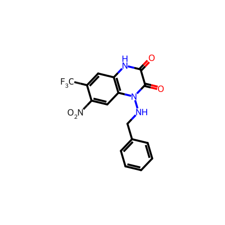 O=c1[nH]c2cc(C(F)(F)F)c([N+](=O)[O-])cc2n(NCc2ccccc2)c1=O